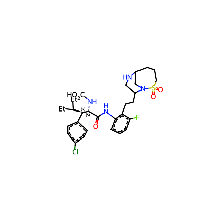 CCC(CC)[C@H](c1ccc(Cl)cc1)[C@H](NC(=O)O)C(=O)Nc1cccc(F)c1CCC1CNC2CCCS(=O)(=O)N1C2